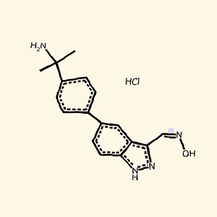 CC(C)(N)c1ccc(-c2ccc3[nH]nc(/C=N\O)c3c2)cc1.Cl